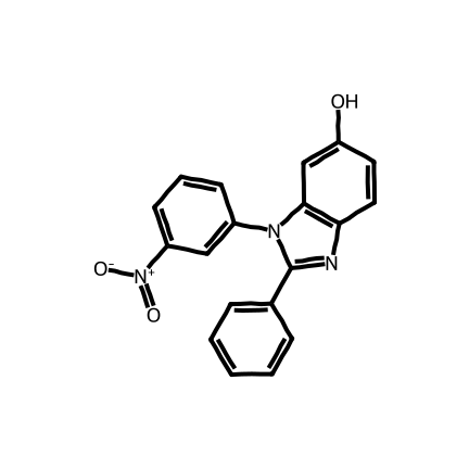 O=[N+]([O-])c1cccc(-n2c(-c3ccccc3)nc3ccc(O)cc32)c1